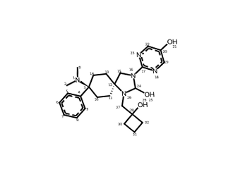 CN(C)[C@]1(c2ccccc2)CC[C@]2(CC1)CN(c1ncc(O)cn1)C(O)N2CC1(O)CCC1